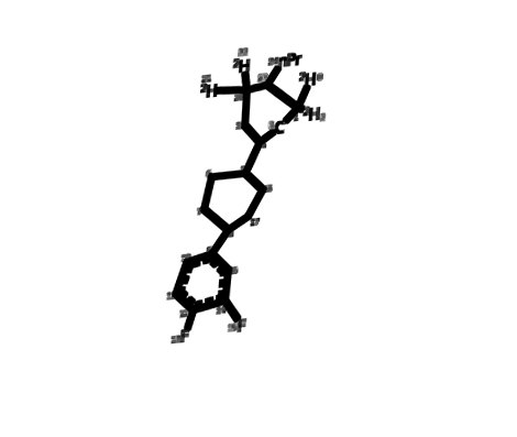 [2H]C1([2H])CC(C2CCC(c3ccc(F)c(F)c3)CC2)CC([2H])([2H])C1CCC